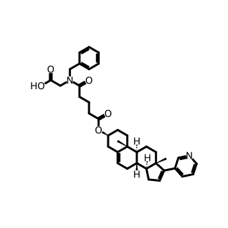 C[C@]12CC[C@H](OC(=O)CCCC(=O)N(CC(=O)O)Cc3ccccc3)CC1=CC[C@@H]1[C@@H]2CC[C@]2(C)C(c3cccnc3)=CC[C@@H]12